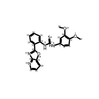 COc1ccc(NC(=S)Nc2ccccc2-c2nc3ncccc3o2)cc1OC